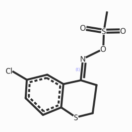 CS(=O)(=O)O/N=C1\CCSc2ccc(Cl)cc21